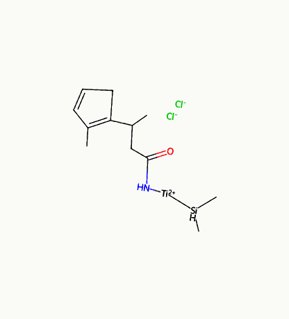 CC1=C(C(C)CC(=O)[NH][Ti+2][SiH](C)C)CC=C1.[Cl-].[Cl-]